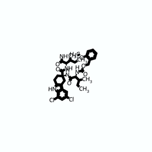 CCC(C)[C@H](NC(=O)[C@@]1(NC(=O)[C@@H](NC(=O)OCc2ccccc2OC)C(C)CC)CCc2[nH]c3c(Cl)cc(Cl)cc3c2C1)C(N)=O